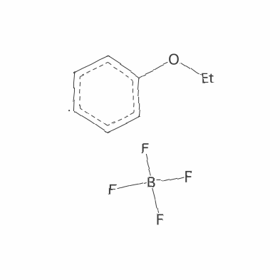 CCOc1cc[c]cc1.F[B-](F)(F)F